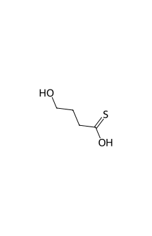 OCCCC(O)=S